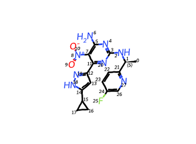 C[C@H](Nc1nc(N)c([N+](=O)[O-])c(-c2cc(C3CC3)[nH]n2)n1)c1ccc(F)cn1